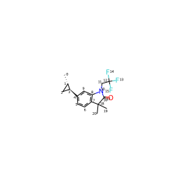 C[C@H]1C[C@@H]1c1ccc2c(c1)N(CC(F)(F)F)C(=O)C2(C)C